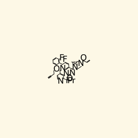 C#CCCOc1cccc(F)c1-c1nc2c(cc1F)c(N1CCN(C(=O)C=C)C[C@@H]1C)nc(=O)n2-c1c(C)ccnc1C(C)C